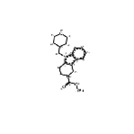 CC(C)(C)OC(=O)N1CCc2c(c3ccccc3n2CC2CCOCC2)C1